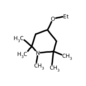 CCOC1CC(C)(C)N(C)C(C)(C)C1